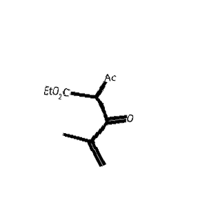 C=C(C)C(=O)C(C(C)=O)C(=O)OCC